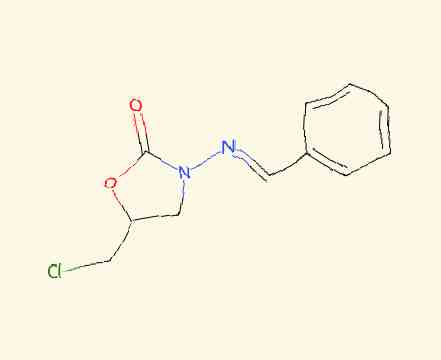 O=C1OC(CCl)CN1/N=C/c1ccccc1